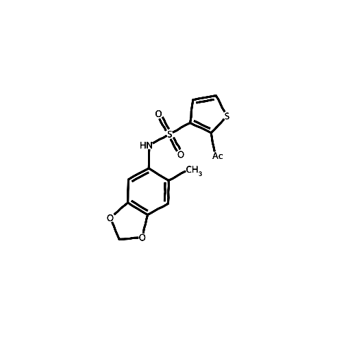 CC(=O)c1sccc1S(=O)(=O)Nc1cc2c(cc1C)OCO2